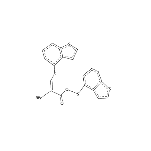 CCCC(=CSc1cccc2sccc12)C(=O)OSc1cccc2sccc12